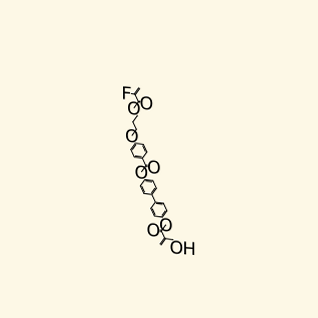 C=C(F)C(=O)OCCCOc1ccc(C(=O)Oc2ccc(-c3ccc(OC(=O)C(=C)CO)cc3)cc2)cc1